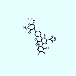 COC(=O)CN(C(C)=O)C1CCC(C2=C(C(=O)O)C(c3ccc(F)c(F)c3Cl)N=C(c3nccs3)N2)CC1